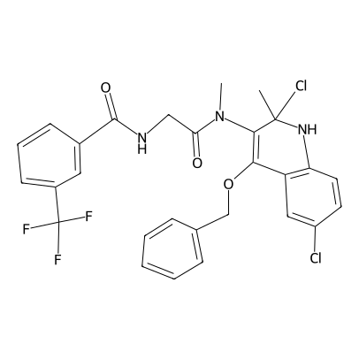 CN(C(=O)CNC(=O)c1cccc(C(F)(F)F)c1)C1=C(OCc2ccccc2)c2cc(Cl)ccc2NC1(C)Cl